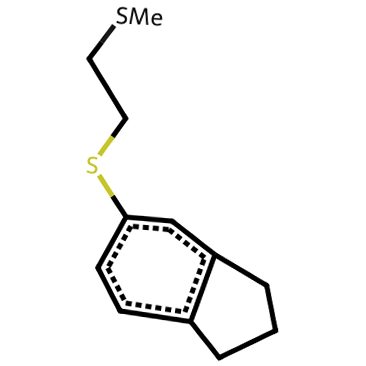 CSCCSc1ccc2c(c1)CCC2